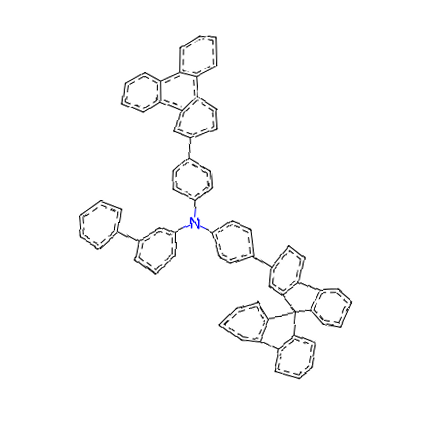 c1ccc(-c2cccc(N(c3ccc(-c4ccc5c(c4)C4(c6ccccc6-c6ccccc64)c4ccccc4-5)cc3)c3ccc(-c4ccc5c6ccccc6c6ccccc6c5c4)cc3)c2)cc1